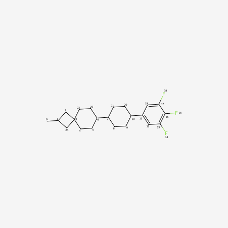 CC1CC2(CCC(C3CCC(c4cc(F)c(F)c(F)c4)CC3)CC2)C1